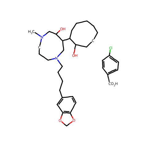 CN1CCCN(CCCCc2ccc3c(c2)OCO3)CC(C2CCCCCCCC2O)C(O)C1.O=C(O)c1ccc(Cl)cc1